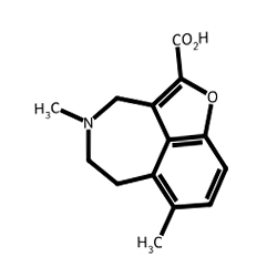 Cc1ccc2oc(C(=O)O)c3c2c1CCN(C)C3